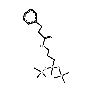 C[Si](C)(C)O[Si](C)(CCCNC(=O)CCc1ccccc1)O[Si](C)(C)C